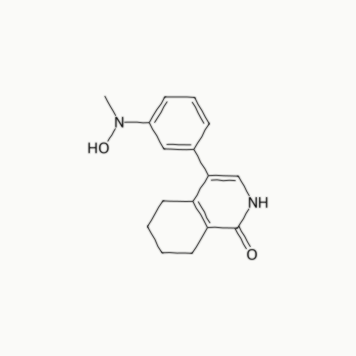 CN(O)c1cccc(-c2c[nH]c(=O)c3c2CCCC3)c1